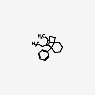 CCN(CC)[C@]1(c2ccccc2)CCCCC12CCO2